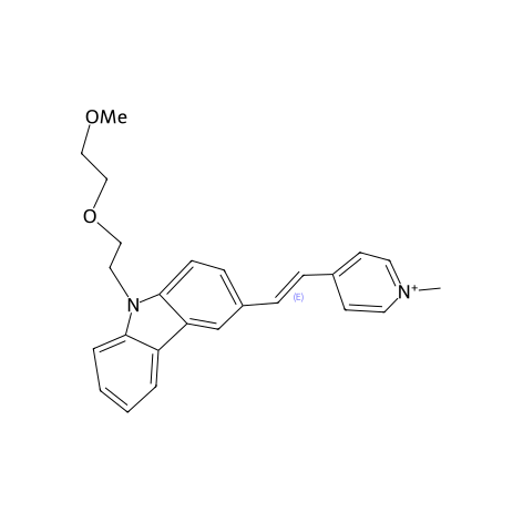 COCCOCCn1c2ccccc2c2cc(/C=C/c3cc[n+](C)cc3)ccc21